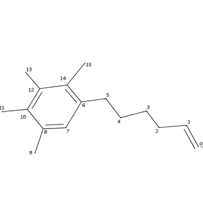 [CH]=CCCCCc1cc(C)c(C)c(C)c1C